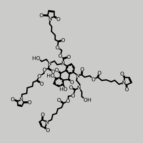 O=C(CCCCCN1C(=O)C=CC1=O)OCCC(=O)N(CCN(CCO)C(=O)OCOC(=O)CCCCCN1C(=O)C=CC1=O)c1ccc(N(CCN(CCO)C(=O)OCOC(=O)CCCCCN2C(=O)C=CC2=O)C(=O)OCOC(=O)CCCCCN2C(=O)C=CC2=O)c2c1C(=O)c1c(O)ccc(O)c1C2=O